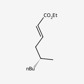 CCCC[C@@H](C)CC=CC(=O)OCC